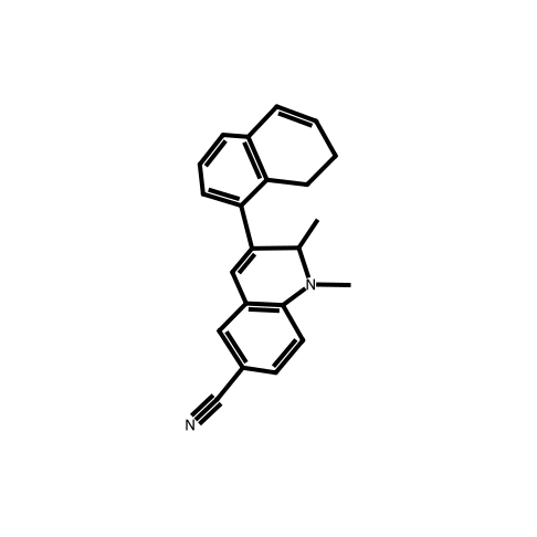 CC1C(c2cccc3c2CCC=C3)=Cc2cc(C#N)ccc2N1C